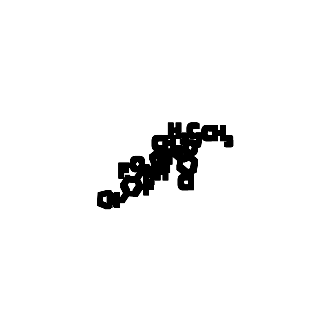 Cc1cc(NC(=O)c2c(F)cc(CN3CCCC3)cc2F)nn1Cc1cc(Cl)ccc1OCC(C)C